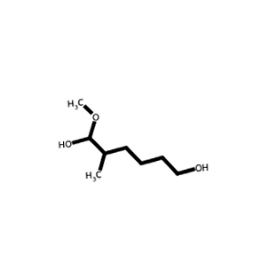 COC(O)C(C)CCCCO